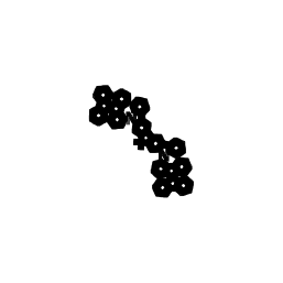 CC1(C)c2cc3c(cc2-c2cc4c5ccccc5n(-c5cccc6c5-c5ccccc5C65c6ccccc6-c6ccccc65)c4cc21)c1ccccc1n3-c1cccc2c1-c1ccccc1C21c2ccccc2-c2ccccc21